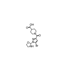 O=C(O)C1CCN(C(=O)c2cc(Br)n(C3NCCO3)n2)CC1